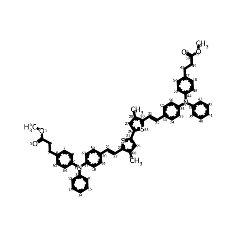 COC(=O)CCc1ccc(N(c2ccccc2)c2ccc(/C=C/c3sc(-c4cc(C)c(/C=C/c5ccc(N(c6ccccc6)c6ccc(CCC(=O)OC)cc6)cc5)s4)cc3C)cc2)cc1